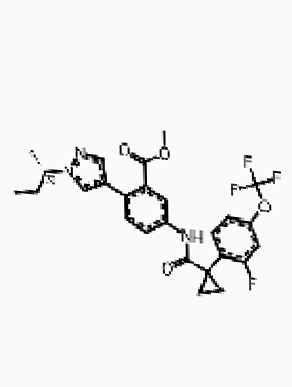 CC[C@H](C)n1cc(-c2ccc(NC(=O)C3(c4ccc(OC(F)(F)F)cc4F)CC3)cc2C(=O)OC)cn1